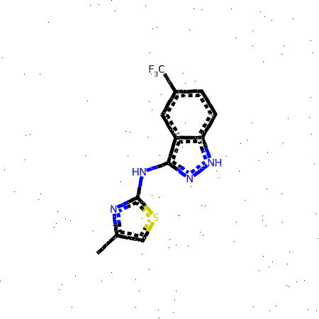 Cc1csc(Nc2n[nH]c3ccc(C(F)(F)F)cc23)n1